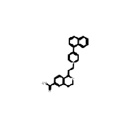 NC(=O)c1ccc2c(c1)CCOC2CCN1CC=C(c2cccc3ccccc23)CC1